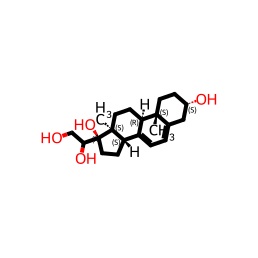 C[C@]12CC[C@@H]3C(=CC=C4C[C@@H](O)CC[C@]43C)[C@@H]1CC[C@]2(O)C(O)CO